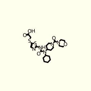 O=C(O)CSc1cnc(NC(=O)N(C2CCCCC2)C2CCN(C(=O)N3CCOCC3)CC2)s1